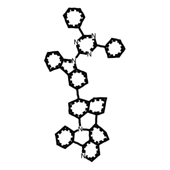 c1ccc(-c2nc(-c3ccccc3)nc(-n3c4ccccc4c4cc(-c5ccc6c7c(cccc57)-c5ccc7ccnc8c7c5N6c5ccccc5-8)ccc43)n2)cc1